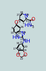 CNC(=O)c1cc(Oc2ccc3[nH]c(Nc4ccc5c(c4)OCO5)nc3c2)ccn1